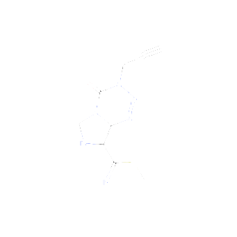 C#CCN1N=NC2=C(C(=N)SC)NCN2C1=O